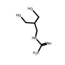 N=C(N)NCC(CO)CO